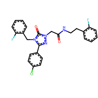 O=C(Cn1nc(-c2ccc(Cl)cc2)n(Cc2ccccc2F)c1=O)NCCc1ccccc1F